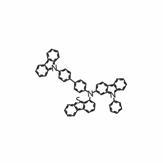 c1ccc(-n2c3ccccc3c3ccc(N(c4ccc(-c5ccc(-n6c7ccccc7c7ccccc76)cc5)cc4)c4cccc5c4sc4ccccc45)cc32)cc1